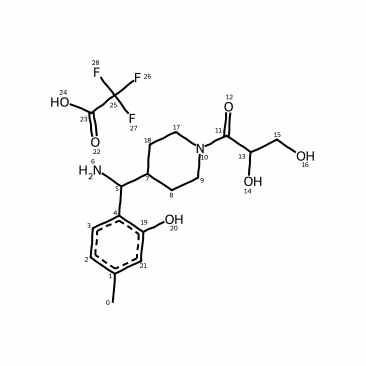 Cc1ccc(C(N)C2CCN(C(=O)C(O)CO)CC2)c(O)c1.O=C(O)C(F)(F)F